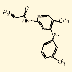 C=CC(=O)Nc1ccc(C)c(Nc2cccc(C(F)(F)F)c2)c1